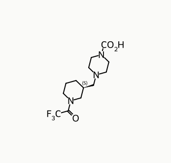 O=C(O)N1CCN(C[C@@H]2CCCN(C(=O)C(F)(F)F)C2)CC1